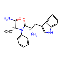 NC(=O)[C@@H]([C]=O)N(C(=O)[C@@H](N)Cc1c[nH]c2ccccc12)c1ccccc1